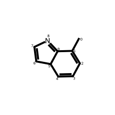 CC1=CC=CC2C=CN=C12